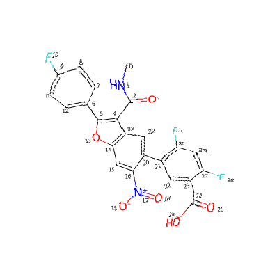 CNC(=O)c1c(-c2ccc(F)cc2)oc2cc([N+](=O)[O-])c(-c3cc(C(=O)O)c(F)cc3F)cc12